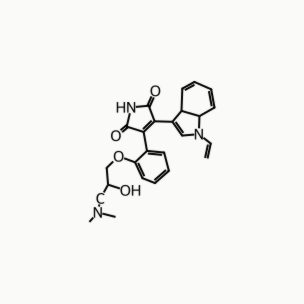 C=CN1C=C(C2=C(c3ccccc3OCC(O)CN(C)C)C(=O)NC2=O)C2C=CC=CC21